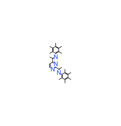 C/C(=N\c1c(C)c(C)c(C)c(C)c1C)c1ccnc(/C(C)=N/c2c(C)c(C)c(C)c(C)c2C)n1